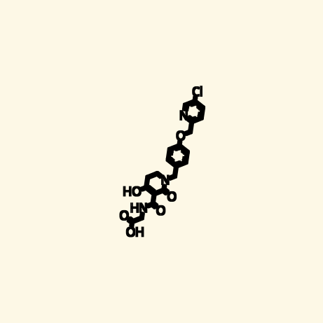 O=C(O)CNC(=O)C1=C(O)CCN(Cc2ccc(OCc3ccc(Cl)cn3)cc2)C1=O